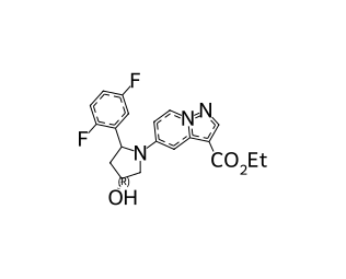 CCOC(=O)c1cnn2ccc(N3C[C@H](O)CC3c3cc(F)ccc3F)cc12